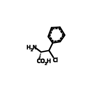 N[C@@H](C(=O)O)C(Cl)c1ccccc1